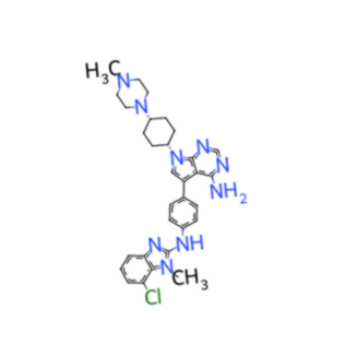 CN1CCN([C@H]2CC[C@@H](n3cc(-c4ccc(Nc5nc6cccc(Cl)c6n5C)cc4)c4c(N)ncnc43)CC2)CC1